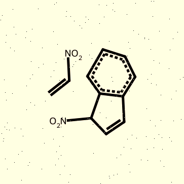 C=C[N+](=O)[O-].O=[N+]([O-])C1C=Cc2ccccc21